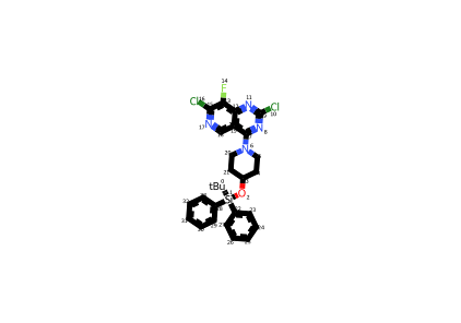 CC(C)(C)[Si](OC1CCN(c2nc(Cl)nc3c(F)c(Cl)ncc23)CC1)(c1ccccc1)c1ccccc1